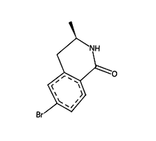 C[C@@H]1Cc2cc(Br)ccc2C(=O)N1